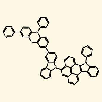 c1ccc(N2c3ccc(-c4cccnc4)cc3Sc3cc(-c4ccc5c(c4)c4ccccc4n5-c4cc5cccc6c5c5c4cccc5c4c6c5ccccc5n4-c4ccccc4)ccc32)cc1